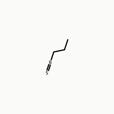 CCCB=S